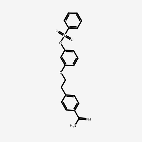 N=C(N)c1ccc(CCOc2cccc(OS(=O)(=O)c3ccccc3)c2)cc1